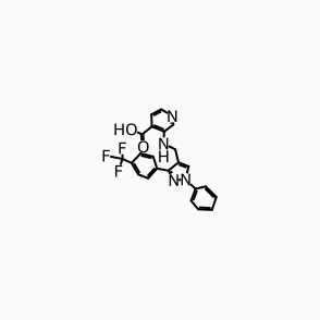 O=C(O)c1ccncc1NCc1cn(-c2ccccc2)nc1-c1ccc(C(F)(F)F)cc1